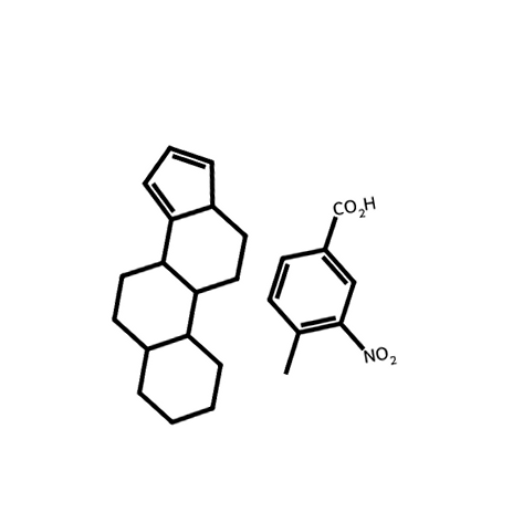 C1=CC2CCC3C(CCC4CCCCC43)C2=C1.Cc1ccc(C(=O)O)cc1[N+](=O)[O-]